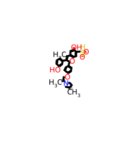 CC1=C(c2cccc(O)c2)C(c2ccc(OC[C@H](C)N3CC[C@@H](C)C3)cc2)Oc2cc(C[SH](=O)=O)c(O)cc21